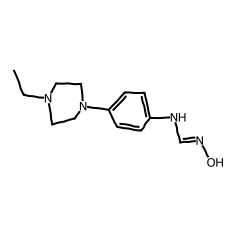 CCN1CCN(c2ccc(N/C=N/O)cc2)CC1